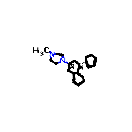 CN1CCN([C@@H]2Cc3ccccc3[C@@H](c3ccccc3)C2)CC1